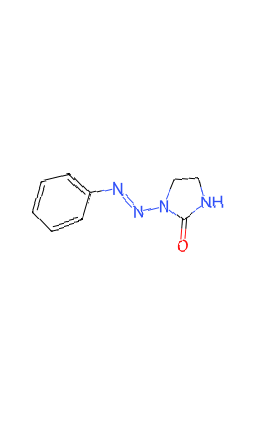 O=C1NCCN1N=Nc1ccccc1